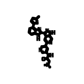 Cc1ccc(-c2cccc3[nH]c(-c4n[nH]c5cnc(-c6cncc(NC(=O)CN(C)C)c6)cc45)nc23)s1